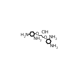 Cl.Nc1ccc(OCCCOc2ccc(N)cc2N)c(N)c1